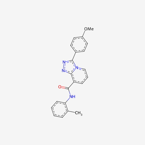 COc1ccc(-c2nnc3c(C(=O)Nc4ccccc4C)cccn23)cc1